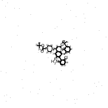 CCc1cccc(C)c1N1C(=C=O)C=C(N2CCN(C(=O)OC(C)(C)C)CC2)c2cc(F)c(-c3c(N)cccc3Cl)cc21